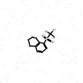 O=S(=O)(c1cccc2c1CC[CH]C2)C(F)(F)F